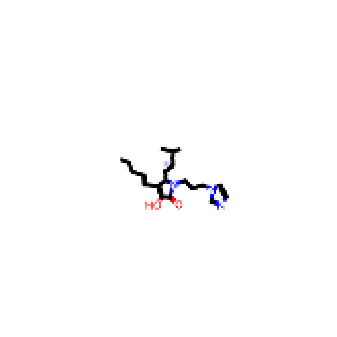 CCCCCC1=C(O)C(=O)N(CCCn2ccnc2)C1/C=C/C(C)C